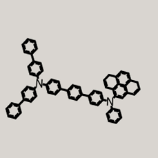 C1=Cc2cc(N(c3ccccc3)c3ccc(-c4ccc(-c5ccc(N(c6ccc(-c7ccccc7)cc6)c6ccc(-c7ccccc7)cc6)cc5)cc4)cc3)c3c4c(ccc(c24)C1)CC=C3